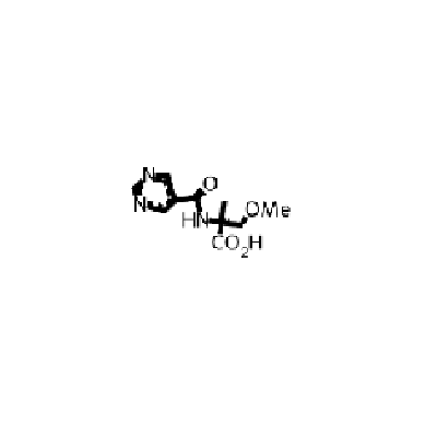 COC[C@@](C)(NC(=O)c1cncnc1)C(=O)O